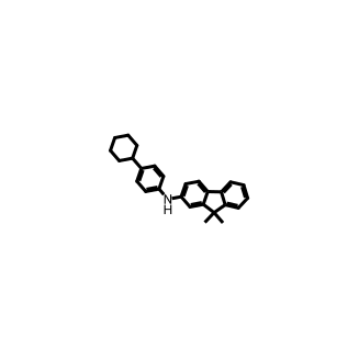 CC1(C)c2ccccc2-c2ccc(Nc3ccc(C4CCCCC4)cc3)cc21